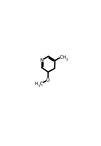 COC1C=NC=C(C)C1